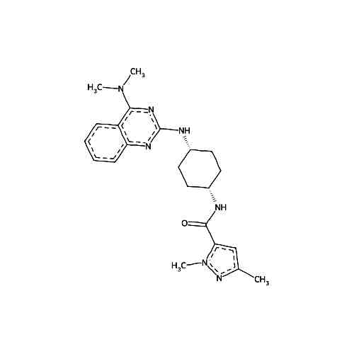 Cc1cc(C(=O)N[C@H]2CC[C@@H](Nc3nc(N(C)C)c4ccccc4n3)CC2)n(C)n1